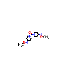 CON=C1CCN(C(=O)N2CCC(=NOC)CC2)CC1